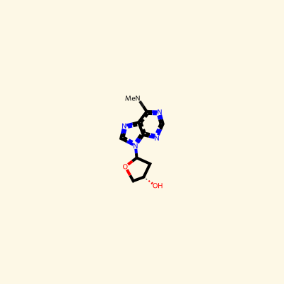 CNc1ncnc2c1ncn2C1C[C@H](O)[CH]O1